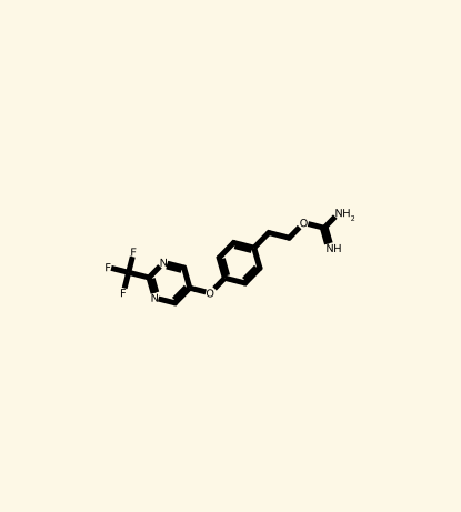 N=C(N)OCCc1ccc(Oc2cnc(C(F)(F)F)nc2)cc1